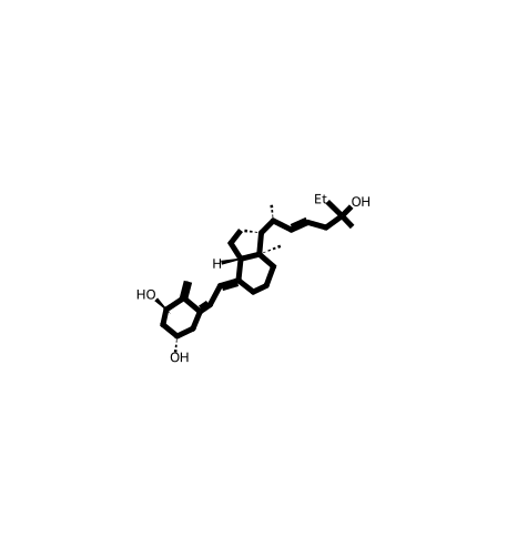 C=C1/C(=C\C=C2/CCC[C@]3(C)[C@@H]([C@H](C)/C=C/CC(C)(O)CC)CC[C@@H]23)C[C@H](O)C[C@H]1O